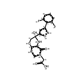 C[C@@]1(c2cc(-c3c(F)cccc3F)no2)COc2ncn(CC(=O)O)c(=O)c2N1